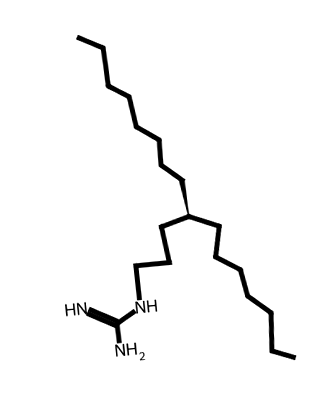 CCCCCCCC[C@@H](CCCCCCC)CCCNC(=N)N